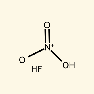 F.O=[N+]([O-])O